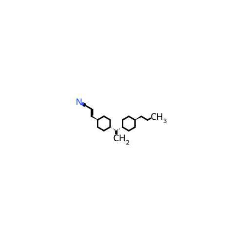 C=C([C@H]1CC[C@H](/C=C/C#N)CC1)[C@H]1CC[C@H](CCC)CC1